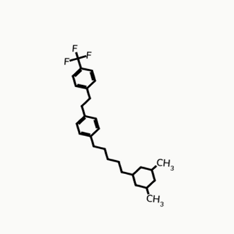 CC1CC(C)CC(CCCCCc2ccc(CCc3ccc(C(F)(F)F)cc3)cc2)C1